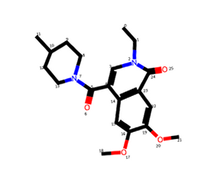 CCn1cc(C(=O)N2CCC(C)CC2)c2cc(OC)c(OC)cc2c1=O